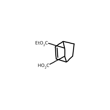 CCOC(=O)C1C2C=CC(CC2)C1C(=O)O